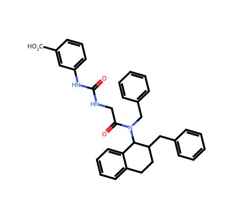 O=C(NCC(=O)N(Cc1ccccc1)C1c2ccccc2CCC1Cc1ccccc1)Nc1cccc(C(=O)O)c1